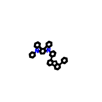 c1ccc(-c2cccc3c2Cc2c(-c4cccc(-n5c6ccccc6c6c7c8ccccc8n(-c8ccccc8)c7ccc65)c4)cccc2-3)cc1